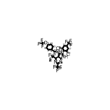 FC(F)(F)Oc1ccc(CNC2=C3C(C(F)(F)F)=NC(C(F)(F)F)=NC3NN2c2c(Cl)cc(C(F)(F)F)cc2Cl)cc1